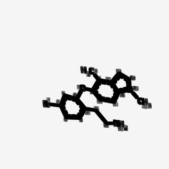 Cc1c(Oc2cc(Br)ccc2CCN)ccc2c1ccn2C